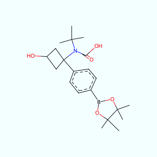 CC(C)(C)N(C(=O)O)C1(c2ccc(B3OC(C)(C)C(C)(C)O3)cc2)CC(O)C1